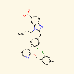 COCCn1c(Cc2ccc(-c3cccnc3OCc3ccc(C)cc3F)c(F)c2)nc2ccc(C(O)O)cc21